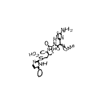 CO/N=C(\C(=O)N[C@@H]1C(=O)N2C(C(=O)O)=C(CSc3nccc(=O)[nH]3)CS[C@H]12)c1nsc(N)n1